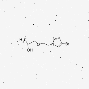 CC(O)COCCn1cc(Br)cn1